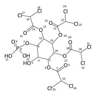 O=C(OC1C(O)C(OP(=O)(O)O)C(OC(=O)C(Cl)Cl)C(OC(=O)C(Cl)Cl)C1OC(=O)C(Cl)Cl)C(Cl)Cl